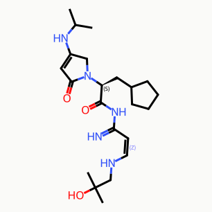 CC(C)NC1=CC(=O)N([C@@H](CC2CCCC2)C(=O)NC(=N)/C=C\NCC(C)(C)O)C1